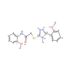 COc1ccccc1NC(=O)CSc1nnc(-c2ccccc2OC)n1C